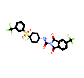 O=C(N[C@H]1CC[C@@](F)(S(=O)(=O)c2cccc(C(F)(F)F)c2)CC1)N1C(=O)c2ccc(C(F)(F)F)cc2C1=O